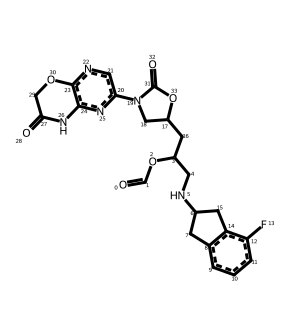 O=COC(CNC1Cc2cccc(F)c2C1)CC1CN(c2cnc3c(n2)NC(=O)CO3)C(=O)O1